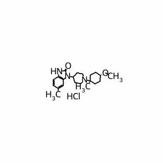 CO[C@H]1CC[C@@](C)(N2CCC(n3c(=O)[nH]c4ccc(C)cc43)CC2)CC1.Cl